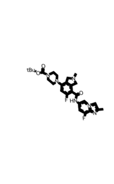 Cc1cn2cc(NC(=O)c3c(F)cc(N4CCN(C(=O)OC(C)(C)C)CC4)c4c3CN(C)C4)cc(F)c2n1